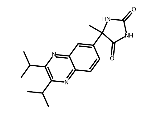 CC(C)c1nc2ccc(C3(C)NC(=O)NC3=O)cc2nc1C(C)C